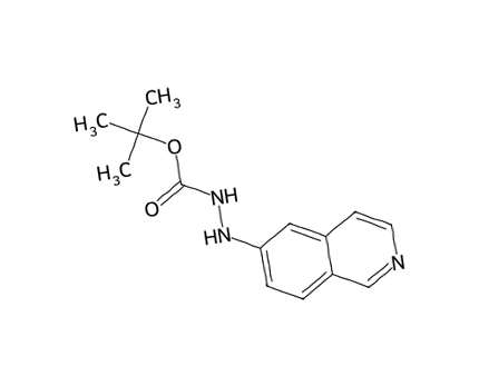 CC(C)(C)OC(=O)NNc1ccc2cnccc2c1